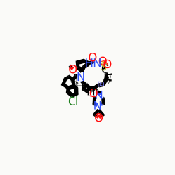 COc1ccc2cc1N(C[C@]1(C)CCCc3cc(Cl)ccc31)C[C@@H]1CC[C@H]1[C@](CN1CCN(C3COC3)CC1)(OC)/C=C/[C@H](C)[C@H](C)CS(=O)(=O)NC2=O